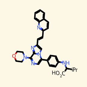 CC(C)C(Nc1ccc(-c2cnc(N3CCOCC3)c3nc(C=Cc4ccc5ccccc5n4)cn23)cc1)C(=O)O